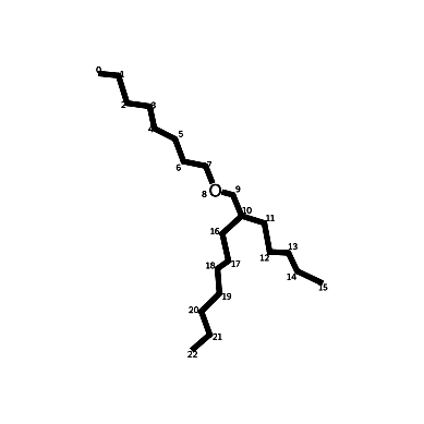 CCCCCCCCOCC(CCCCC)CCCCCCC